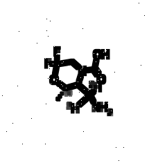 [2H]C([2H])(N)C1[C@H](C)OC(F)(F)CN1C(=O)O